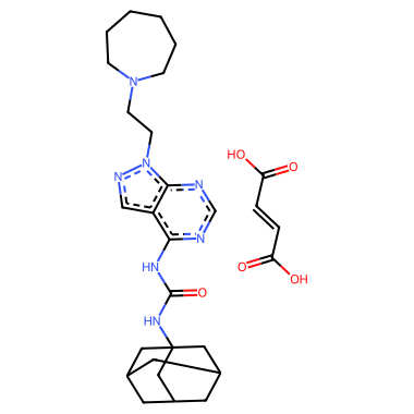 O=C(Nc1ncnc2c1cnn2CCN1CCCCCC1)NC12CC3CC(CC(C3)C1)C2.O=C(O)C=CC(=O)O